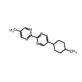 Cc1cnc(-c2ncc(C3CCC(C)CC3)cn2)nc1